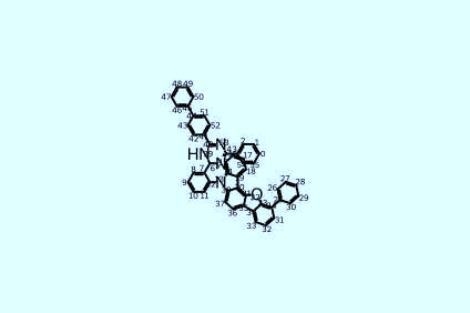 c1ccc(C2=NC(c3ccccc3-n3c4ccccc4c4c5oc6c(-c7ccccc7)cccc6c5ccc43)NC(c3ccc(-c4ccccc4)cc3)=N2)cc1